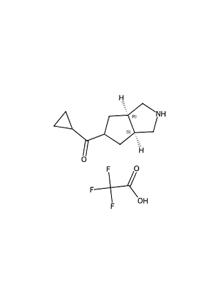 O=C(C1CC1)C1C[C@H]2CNC[C@H]2C1.O=C(O)C(F)(F)F